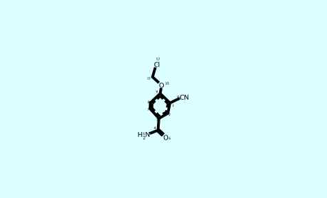 N#Cc1cc(C(N)=O)ccc1OCCl